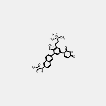 COc1c(CC[Si](C)(C)C)cc(-n2ccc(=O)[nH]c2=O)cc1-c1ccc2cc(NS(C)(=O)=O)ccc2c1